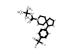 CC(C)(C)OC(=O)N1CCC2(CCCC2c2ccc(C(F)(F)F)cc2)CC1